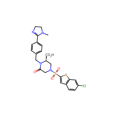 CN1CCN=C1c1ccc(CN2C(=O)CN(S(=O)(=O)c3cc4ccc(Cl)cc4s3)C[C@@H]2C(=O)O)cc1